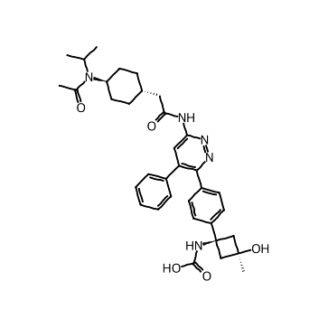 CC(=O)N(C(C)C)[C@H]1CC[C@H](CC(=O)Nc2cc(-c3ccccc3)c(-c3ccc([C@]4(NC(=O)O)C[C@@](C)(O)C4)cc3)nn2)CC1